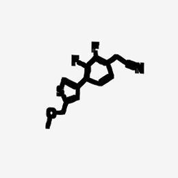 COCc1cc(-c2ccc(CC#N)c(F)c2F)cs1